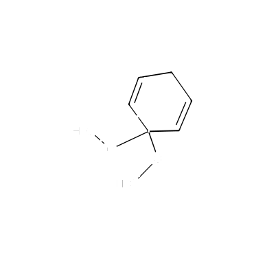 COC1(OC)C=CCC=C1